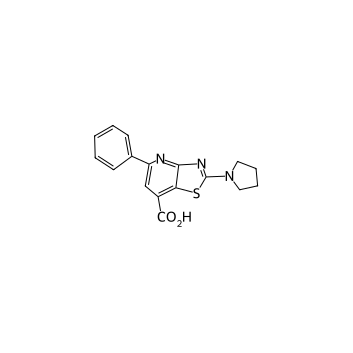 O=C(O)c1cc(-c2ccccc2)nc2nc(N3CCCC3)sc12